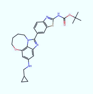 CC(C)(C)OC(=O)Nc1nc2ccc(-c3nc4cc(NCC5CC5)cc5c4n3CCCCO5)cc2s1